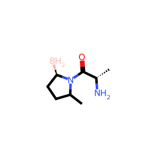 B[C@@H]1CCC(C)N1C(=O)[C@H](C)N